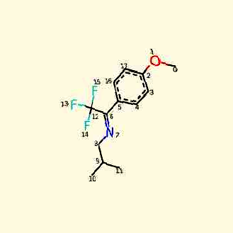 COc1ccc(/C(=N/CC(C)C)C(F)(F)F)cc1